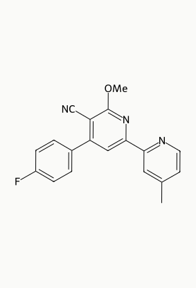 COc1nc(-c2cc(C)ccn2)cc(-c2ccc(F)cc2)c1C#N